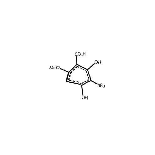 CCCCc1c(O)cc(OC)c(C(=O)O)c1O